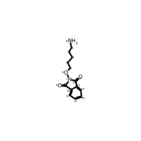 NCCCCCON1C(=O)c2ccccc2C1=O